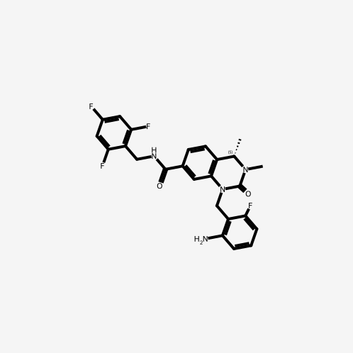 C[C@H]1c2ccc(C(=O)NCc3c(F)cc(F)cc3F)cc2N(Cc2c(N)cccc2F)C(=O)N1C